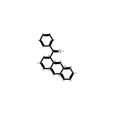 O=C(c1cc[c]cc1)c1cccc2cc3ccccc3cc12